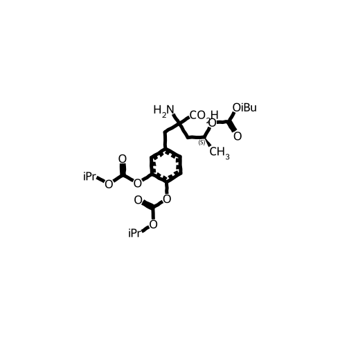 CC(C)COC(=O)O[C@@H](C)CC(N)(Cc1ccc(OC(=O)OC(C)C)c(OC(=O)OC(C)C)c1)C(=O)O